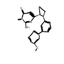 COc1cccc(-c2cccc([C@@H]3CC[C@@H]3c3cc(=O)n(C)c(N)n3)c2)c1